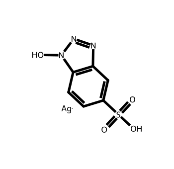 O=S(=O)(O)c1ccc2c(c1)nnn2O.[Ag]